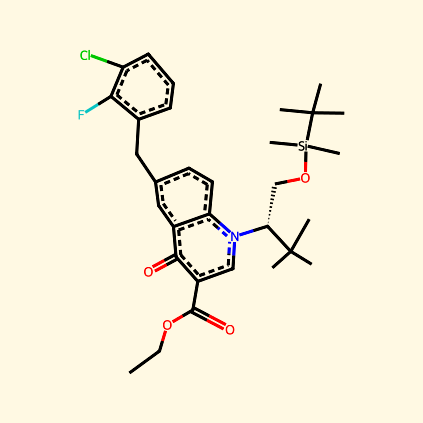 CCOC(=O)c1cn([C@H](CO[Si](C)(C)C(C)(C)C)C(C)(C)C)c2ccc(Cc3cccc(Cl)c3F)cc2c1=O